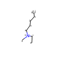 [Li][CH2]CCCN(C)CC